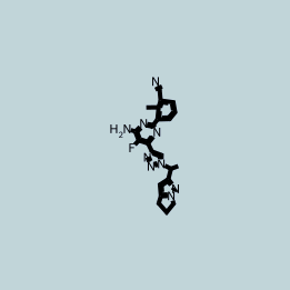 Cc1c(C#N)cccc1-c1nc(N)c(F)c(-c2cn(C(C)c3cc4n(n3)CCC4)nn2)n1